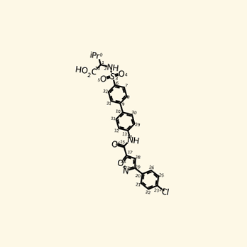 CC(C)C(NS(=O)(=O)c1ccc(-c2ccc(NC(=O)c3cc(-c4ccc(Cl)cc4)no3)cc2)cc1)C(=O)O